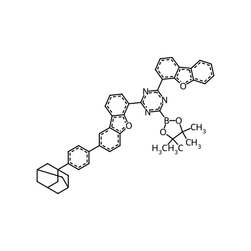 CC1(C)OB(c2nc(-c3cccc4c3oc3ccccc34)nc(-c3cccc4c3oc3ccc(-c5ccc(C67CC8CC(CC(C8)C6)C7)cc5)cc34)n2)OC1(C)C